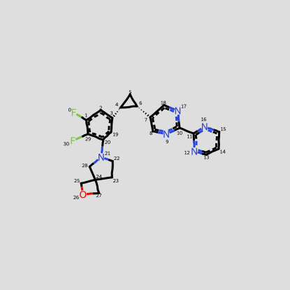 Fc1cc([C@@H]2C[C@@H]2c2cnc(-c3ncccn3)nc2)cc(N2CCC3(COC3)C2)c1F